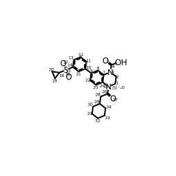 C[C@H]1CN(C(=O)O)c2cc(-c3cccc(S(=O)(=O)C4CC4)c3)ccc2N1C(=O)CC1CCCCC1